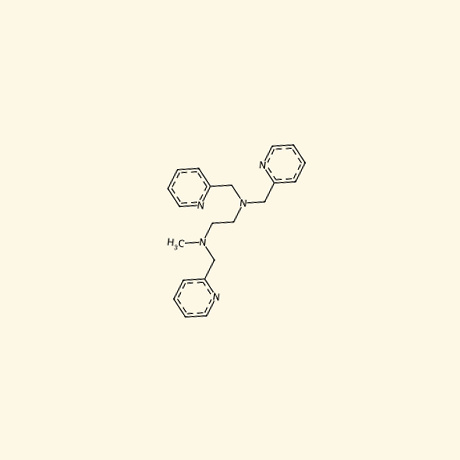 CN(CCN(Cc1ccccn1)Cc1ccccn1)Cc1ccccn1